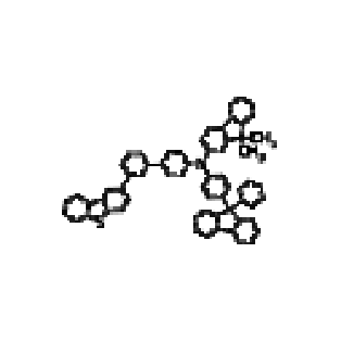 CC1(C)c2ccccc2-c2ccc(N(c3ccc(-c4cccc(-c5ccc6sc7ccccc7c6c5)c4)cc3)c3ccc(C4(c5ccccc5)c5ccccc5-c5ccccc54)cc3)cc21